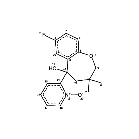 CC1(C)COc2ccc(F)cc2C(O)(c2cccc[n+]2[O-])C1